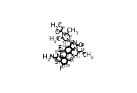 C=CC(=O)N1[C@H](C)CN(c2nc(=O)n3c4c(c(-c5c(F)cc(F)c6sc(N)nc56)c(C(F)(F)F)cc24)SCC3CC)C[C@@H]1C